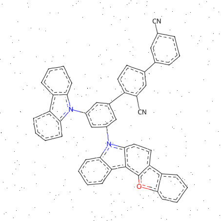 N#Cc1cccc(-c2ccc(-c3cc(-n4c5ccccc5c5ccccc54)cc(-n4c5ccccc5c5c6oc7ccccc7c6ccc54)c3)c(C#N)c2)c1